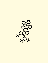 CC(C)(C)c1cc(N2c3cc(C(C)(C)C)ccc3B3c4cccc5c4N(c4ccccc4[Si]5(c4ccccc4)c4ccccc4)c4cccc2c43)cc(C(C)(C)C)c1